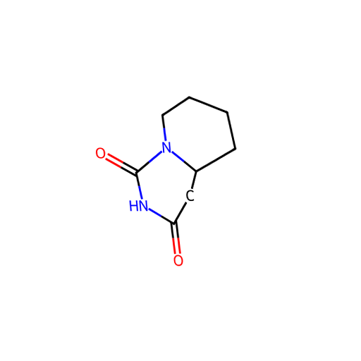 O=C1CC2CCCCN2C(=O)N1